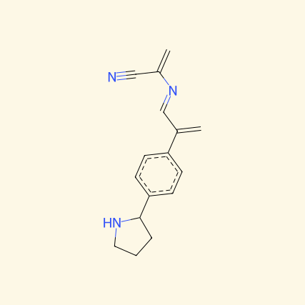 C=C(C#N)/N=C/C(=C)c1ccc(C2CCCN2)cc1